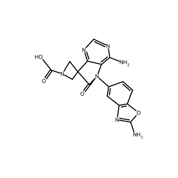 Nc1nc2cc(N3C(=O)C4(CN(C(=O)O)C4)c4ncnc(N)c43)ccc2o1